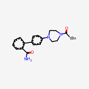 CC(C)(C)C(=O)N1CCN(c2ccc(-c3ccccc3C(N)=O)cc2)CC1